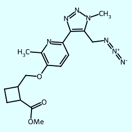 COC(=O)C1CCC1COc1ccc(-c2nnn(C)c2CN=[N+]=[N-])nc1C